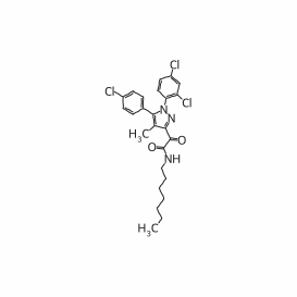 CCCCCCCNC(=O)C(=O)c1nn(-c2ccc(Cl)cc2Cl)c(-c2ccc(Cl)cc2)c1C